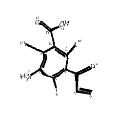 C=CC(=O)c1c(I)c(N)c(I)c(C(=O)O)c1I